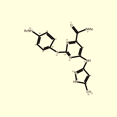 CNC(=O)c1cc(Nc2cc(C)[nH]n2)nc(Sc2ccc(NC(C)=O)cc2)n1